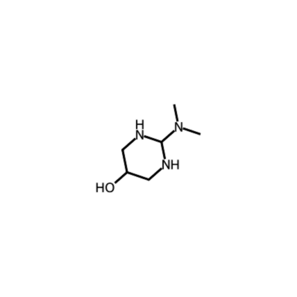 CN(C)C1NCC(O)CN1